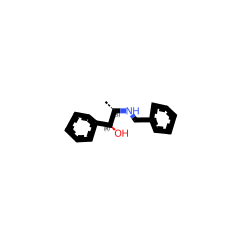 C[C@H](NCc1ccccc1)[C@H](O)c1ccccc1